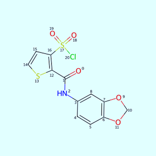 O=C(Nc1ccc2c(c1)OCO2)c1sccc1S(=O)(=O)Cl